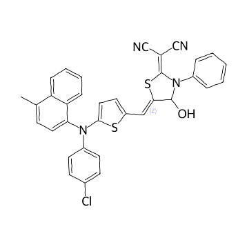 Cc1ccc(N(c2ccc(Cl)cc2)c2ccc(/C=C3\SC(=C(C#N)C#N)N(c4ccccc4)C3O)s2)c2ccccc12